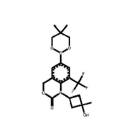 CC1(C)COB(c2cc3c(c(C(F)(F)F)c2)N(C2CC(C)(O)C2)C(=O)OC3)OC1